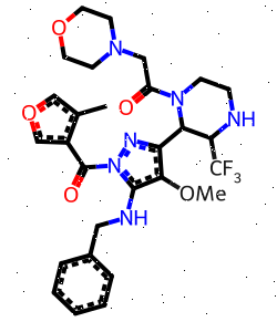 COc1c(C2C(C(F)(F)F)NCCN2C(=O)CN2CCOCC2)nn(C(=O)c2cocc2C)c1NCc1ccccc1